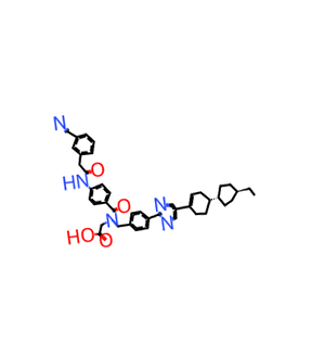 CC[C@H]1CC[C@H](C2CC=C(c3cnc(-c4ccc(CN(CC(=O)O)C(=O)c5ccc(NC(=O)Cc6cccc(C#N)c6)cc5)cc4)nc3)CC2)CC1